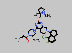 C=C(F)C(=O)N1CCN(c2nc(OCC3(CC)CCCN3C)nc3c2CCN(c2cccc4ccc(F)c(Cl)c24)C3)C[C@@H]1CC#N